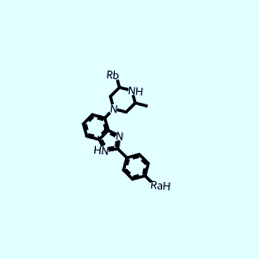 CC1CN(c2cccc3[nH]c(-c4cc[c]([RaH])cc4)nc23)C[CH]([Rb])N1